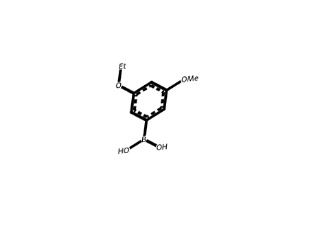 CCOc1cc(OC)cc(B(O)O)c1